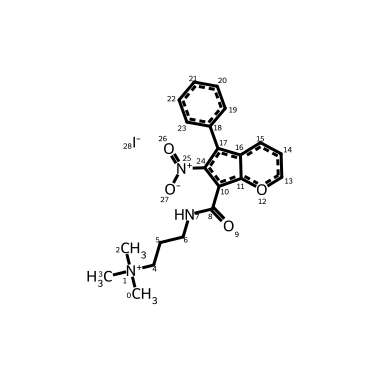 C[N+](C)(C)CCCNC(=O)c1c2occcc-2c(-c2ccccc2)c1[N+](=O)[O-].[I-]